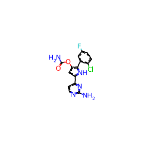 NC(=O)Oc1cc(-c2ccnc(N)n2)[nH]c1-c1cc(F)ccc1Cl